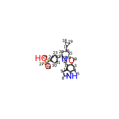 COc1cc(C)c2[nH]ccc2c1CN1CCC(C2CC2)C[C@H]1c1ccc(P(C)(=O)O)cc1